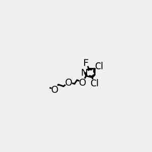 COCCOCCOc1nc(F)c(Cl)cc1Cl